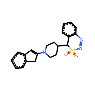 O=S1(=O)N=Nc2ccccc2C1C1CCN(C2=Cc3ccccc3C2)CC1